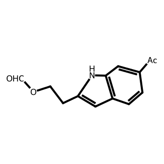 CC(=O)c1ccc2cc(CCOC=O)[nH]c2c1